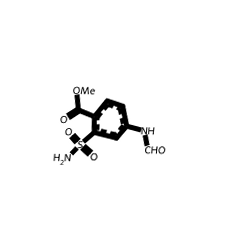 COC(=O)c1ccc(NC=O)cc1S(N)(=O)=O